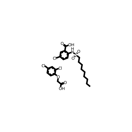 CCCCCCCCCS(=O)(=O)Nc1ccc(Cl)cc1C(=O)O.O=C(O)COc1ccc(Cl)cc1Cl